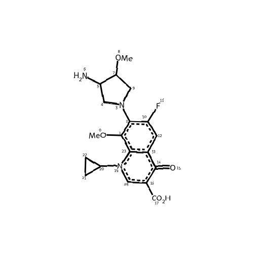 COc1c(N2CC(N)C(OC)C2)c(F)cc2c(=O)c(C(=O)O)cn(C3CC3)c12